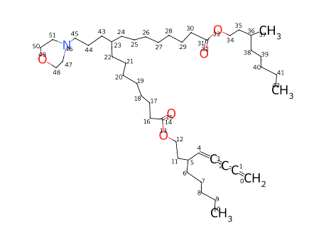 C=C=C=C=CC(CCCCC)CCOC(=O)CCCCCCCC(CCCCCCCC(=O)OCCC(C)CCCCC)CCCN1CCOCC1